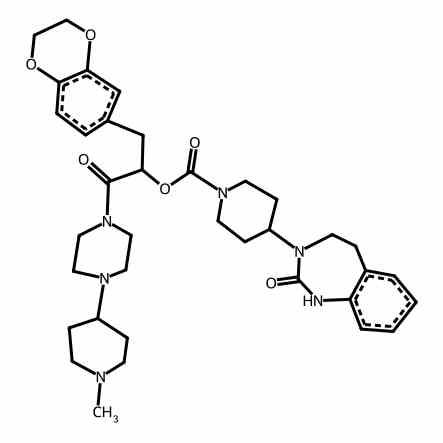 CN1CCC(N2CCN(C(=O)C(Cc3ccc4c(c3)OCCO4)OC(=O)N3CCC(N4CCc5ccccc5NC4=O)CC3)CC2)CC1